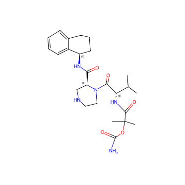 CC(C)[C@H](NC(=O)C(C)(C)OC(N)=O)C(=O)N1CCNC[C@H]1C(=O)N[C@@H]1CCCc2ccccc21